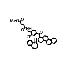 C1=CNc2ccccc2C=C1.COC(=O)CCC(=O)NCc1ccc(C(=O)C2=c3ccc4c(c3CCC2)CC=c2ccccc2=4)cc1Cl